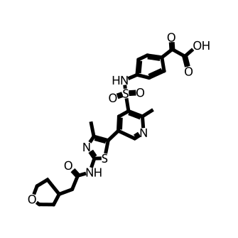 Cc1ncc(-c2sc(NC(=O)CC3CCOCC3)nc2C)cc1S(=O)(=O)Nc1ccc(C(=O)C(=O)O)cc1